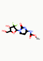 CC(C)(C)OC(=O)Nc1ccn(C2OC(CO)[C@@H](O)C2(F)F)c(=O)n1